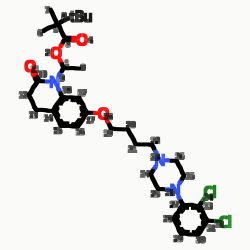 CC(OC(=O)C(C)(C)C(C)(C)C)N1C(=O)CCc2ccc(OCCCCN3CCN(c4cccc(Cl)c4Cl)CC3)cc21